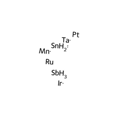 [Ir].[Mn].[Pt].[Ru].[SbH3].[SnH2].[Ta]